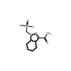 CC(=O)c1nn(CP(=O)(Cl)Cl)c2ccccc12